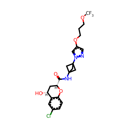 O=C(NC12CC(n3cc(OCCCOC(F)(F)F)cn3)(C1)C2)[C@H]1C[C@@H](O)c2cc(Cl)ccc2O1